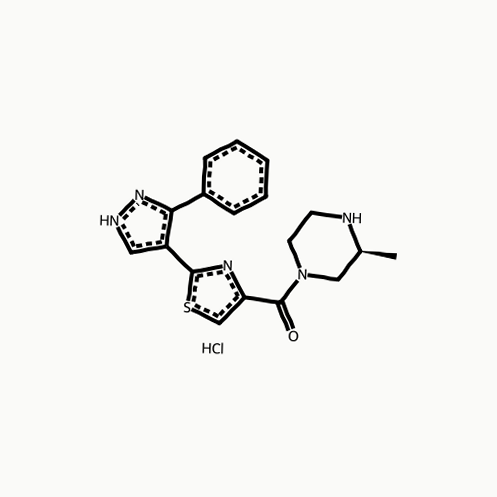 C[C@H]1CN(C(=O)c2csc(-c3c[nH]nc3-c3ccccc3)n2)CCN1.Cl